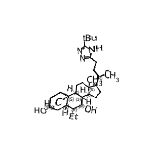 CC[C@H]1[C@@H](O)[C@@H]2[C@H](CC[C@]3(C)[C@@H]([C@H](C)CCc4nnc(C(C)(C)C)[nH]4)CC[C@@H]23)[C@@]2(C)CC[C@@H](O)C[C@@H]12